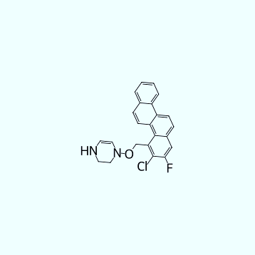 Fc1cc2ccc3c4ccccc4ccc3c2c(CON2C=CNCC2)c1Cl